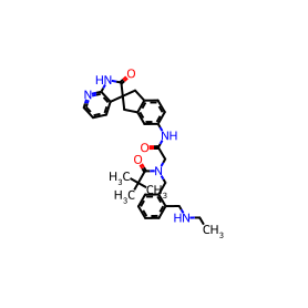 CCNCc1ccccc1CN(CC(=O)Nc1ccc2c(c1)CC1(C2)C(=O)Nc2ncccc21)C(=O)C(C)(C)C